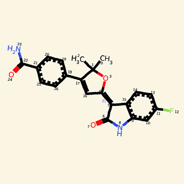 CC1(C)O/C(=C2/C(=O)Nc3cc(F)ccc32)C=C1c1ccc(C(N)=O)cc1